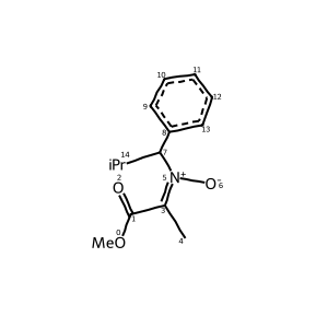 COC(=O)/C(C)=[N+](/[O-])C(c1ccccc1)C(C)C